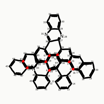 c1ccc(-c2ccccc2-c2ccccc2N(c2ccccc2)c2ccc(-c3nc4ccccc4nc3-c3ccc(N(c4ccccc4)c4ccccc4-c4ccccc4-c4ccccc4)cc3)cc2)cc1